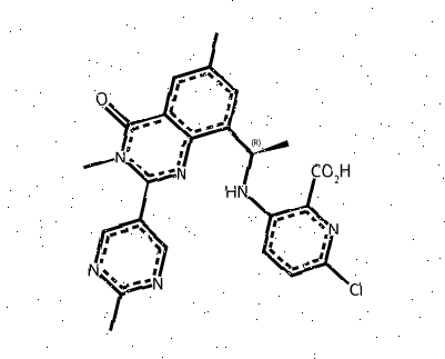 Cc1cc([C@@H](C)Nc2ccc(Cl)nc2C(=O)O)c2nc(-c3cnc(C)nc3)n(C)c(=O)c2c1